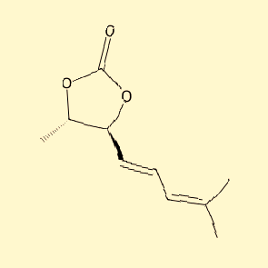 CC(C)=C/C=C/[C@@H]1OC(=O)O[C@H]1C